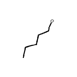 CCCCC[O]